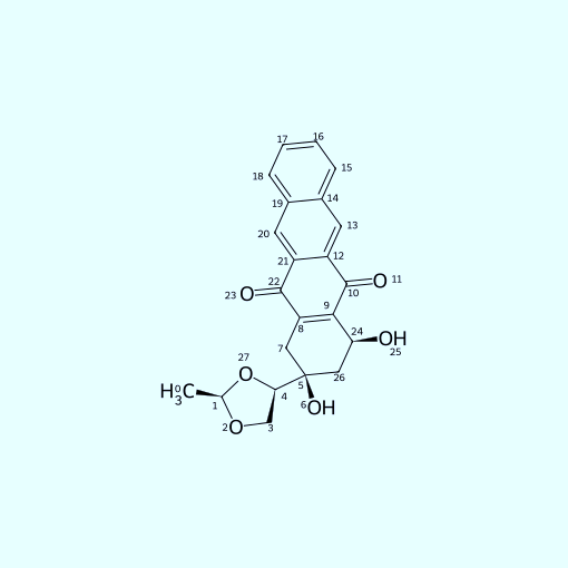 C[C@@H]1OC[C@H]([C@]2(O)CC3=C(C(=O)c4cc5ccccc5cc4C3=O)[C@@H](O)C2)O1